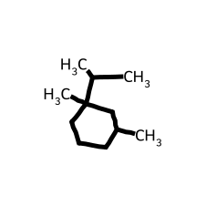 CC1CCCC(C)(C(C)C)C1